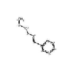 COOC/C=C/c1ccccc1